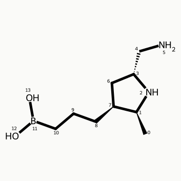 C[C@@H]1N[C@@H](CN)C[C@@H]1CCCB(O)O